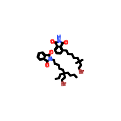 CC(C)(CCBr)CCCCCc1cccc2c1C(=O)NC2=O.CCCCC(CCC)(CCBr)CCCCCN1C(=O)c2ccccc2C1=O